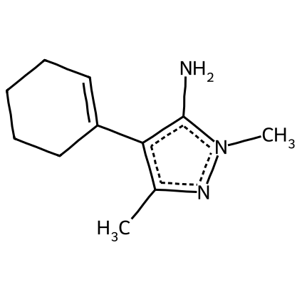 Cc1nn(C)c(N)c1C1=CCCCC1